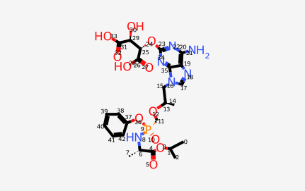 CC(C)OC(=O)[C@H](C)N[P@@](=O)(CO[C@H](C)Cn1cnc2c(N)nc(O[C@H](C(=O)O)[C@H](O)C(=O)O)nc21)Oc1ccccc1